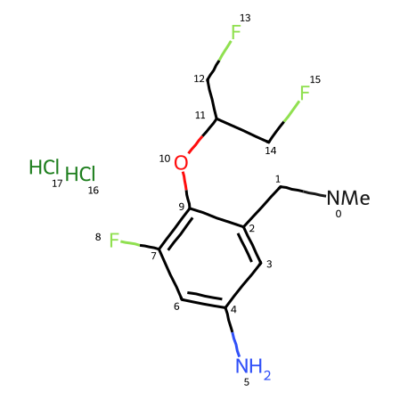 CNCc1cc(N)cc(F)c1OC(CF)CF.Cl.Cl